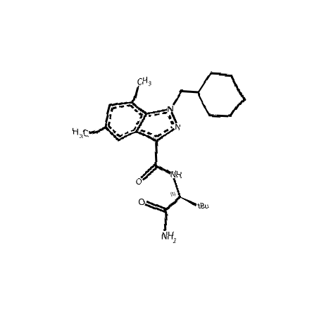 Cc1cc(C)c2c(c1)c(C(=O)N[C@H](C(N)=O)C(C)(C)C)nn2CC1CCCCC1